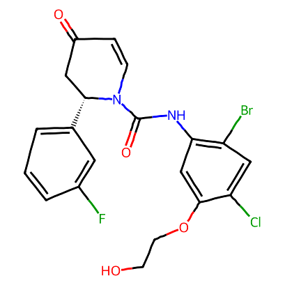 O=C1C=CN(C(=O)Nc2cc(OCCO)c(Cl)cc2Br)[C@H](c2cccc(F)c2)C1